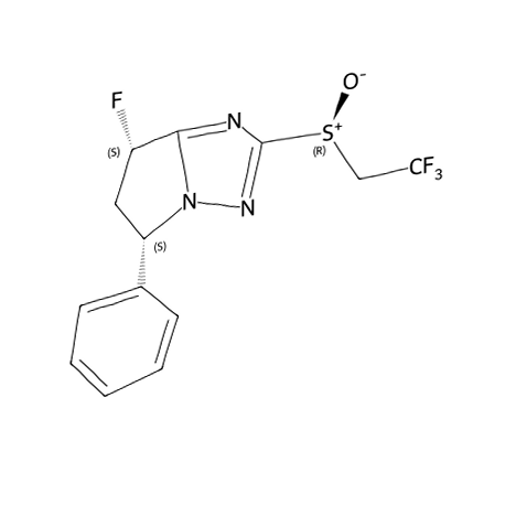 [O-][S@@+](CC(F)(F)F)c1nc2n(n1)[C@H](c1ccccc1)C[C@@H]2F